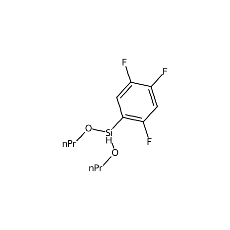 CCCO[SiH](OCCC)c1cc(F)c(F)cc1F